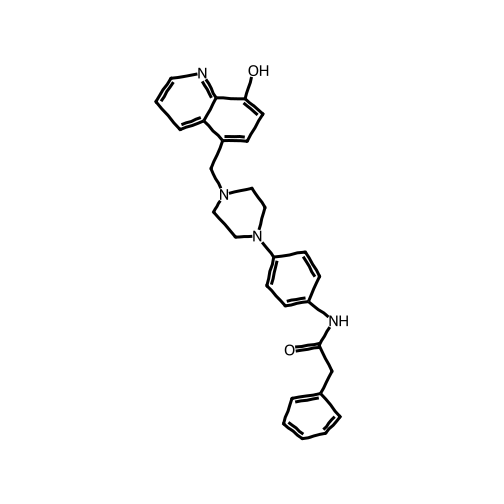 O=C(Cc1ccccc1)Nc1ccc(N2CCN(Cc3ccc(O)c4ncccc34)CC2)cc1